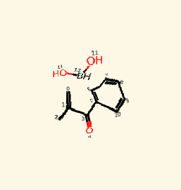 C=C(C)C(=O)c1ccccc1.OBO